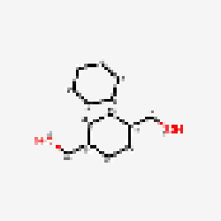 C1CCCCC1.OCC1CCC(CO)CC1